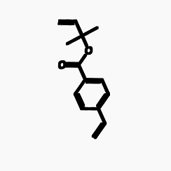 C=Cc1ccc(C(=O)OC(C)(C)C=C)cc1